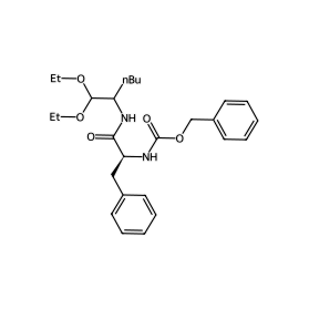 CCCCC(NC(=O)[C@H](Cc1ccccc1)NC(=O)OCc1ccccc1)C(OCC)OCC